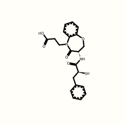 O=C(O)CCN1C(=O)[C@@H](NC(=O)[C@@H](S)Cc2ccccc2)COc2ccccc21